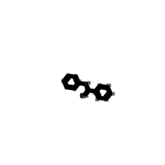 Cl[C](Oc1ccccc1)c1ccccc1